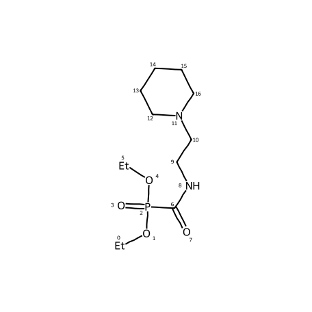 CCOP(=O)(OCC)C(=O)NCCN1CCCCC1